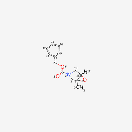 CC12CN(C(=O)OCc3ccccc3)C[C@@H]1O2